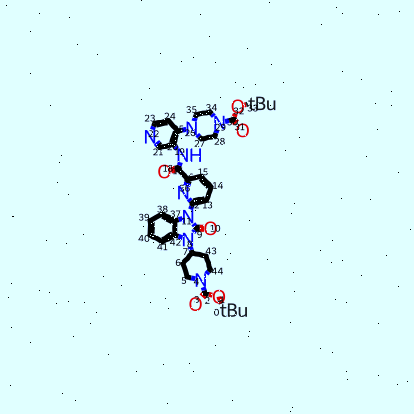 CC(C)(C)OC(=O)N1CCC(n2c(=O)n(-c3cccc(C(=O)Nc4cnccc4N4CCN(C(=O)OC(C)(C)C)CC4)n3)c3ccccc32)CC1